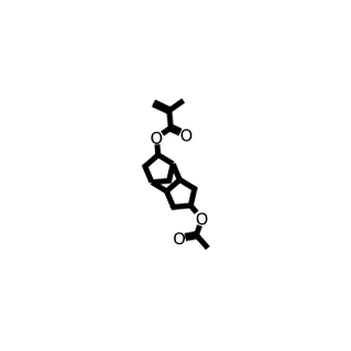 C=C(C)C(=O)OC1CC2CC1C1CC(OC(C)=O)CC21